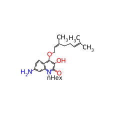 CCCCCCn1c(=O)c(O)c(OCC=C(C)CCC=C(C)C)c2ccc(N)cc21